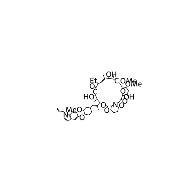 C=CCn1ccc2cc(OC3CCC(C=C(C)C4OC(=O)C5CCCCN5C(=O)C(=O)C5(O)OC(C(OC)CC(C)C(O)/C(C)=C/C(CC)C(=O)CC(O)C4C)C(OC)CC5C)CC3OC)ccc21